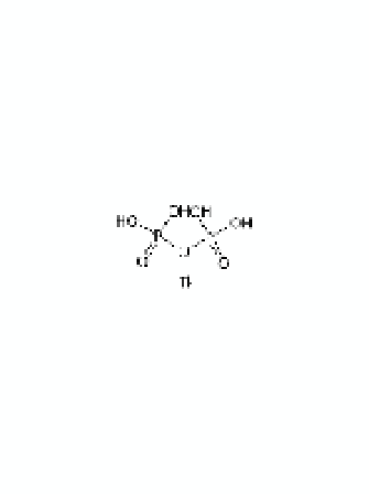 O=P(O)(O)OP(=O)(O)O.[Tl]